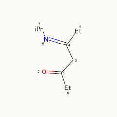 CCC(=O)CC(CC)=NC(C)C